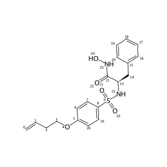 C=CCCOc1ccc(S(=O)(=O)N[C@H](Cc2ccccc2)C(=O)NO)cc1